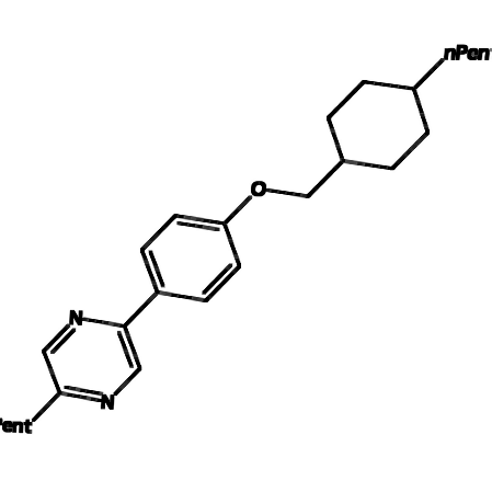 CCCCCc1cnc(-c2ccc(OCC3CCC(CCCCC)CC3)cc2)cn1